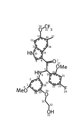 COc1cc(NC(C(=O)c2c[nH]c3cc(OC(F)(F)F)c(C)cc23)c2ccc(F)cc2OC)cc(OCCO)c1